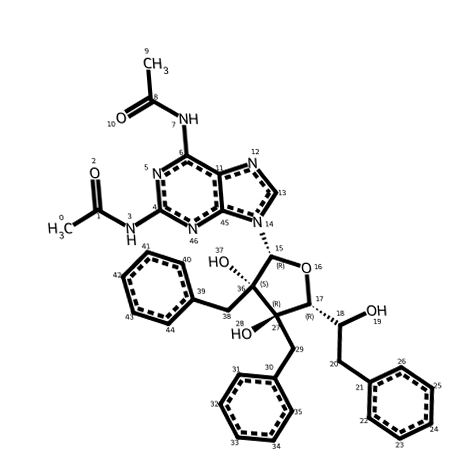 CC(=O)Nc1nc(NC(C)=O)c2ncn([C@@H]3O[C@H](C(O)Cc4ccccc4)[C@](O)(Cc4ccccc4)[C@@]3(O)Cc3ccccc3)c2n1